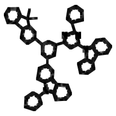 CC1(C)c2ccccc2-c2ccc(-c3cc(-c4ccc5c(c4)c4ccccc4n5-c4ccccc4)cc(-c4cc(-n5c6ccccc6c6ccccc65)nc(-c5ccccc5)n4)c3)cc21